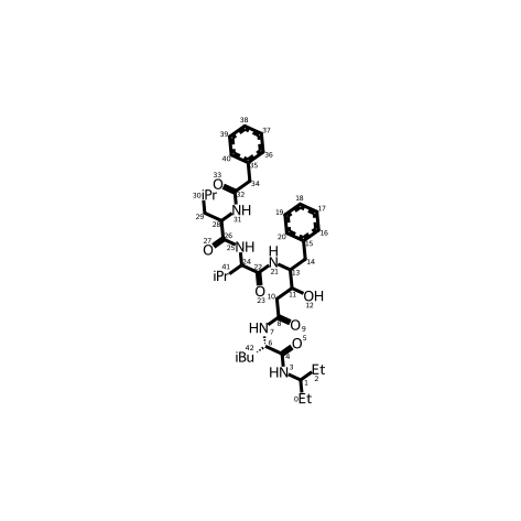 CCC(CC)NC(=O)[C@@H](NC(=O)CC(O)C(Cc1ccccc1)NC(=O)C(NC(=O)C(CC(C)C)NC(=O)Cc1ccccc1)C(C)C)[C@@H](C)CC